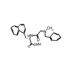 COC(=O)[C@H](Cc1cccc2ccccc12)NC(=O)CN(C)Cc1ccccc1